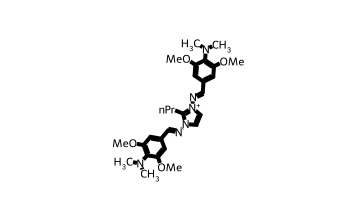 CCCc1n(N=Cc2cc(OC)c(N(C)C)c(OC)c2)cc[n+]1N=Cc1cc(OC)c(N(C)C)c(OC)c1